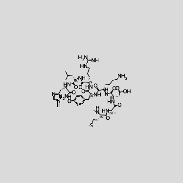 CN[C@@H](CCSC)C(=O)N[C@@H](C)C(=O)N[C@@H](CC(=O)O)C(=O)N[C@@H](CCCCN)C(=O)N[C@@H](Cc1ccc(O)cc1)C(=O)N[C@@H](CCCNC(=N)N)C(=O)N[C@@H](CC(C)C)C(=O)N[C@@H](Cc1c[nH]cn1)C(N)=O